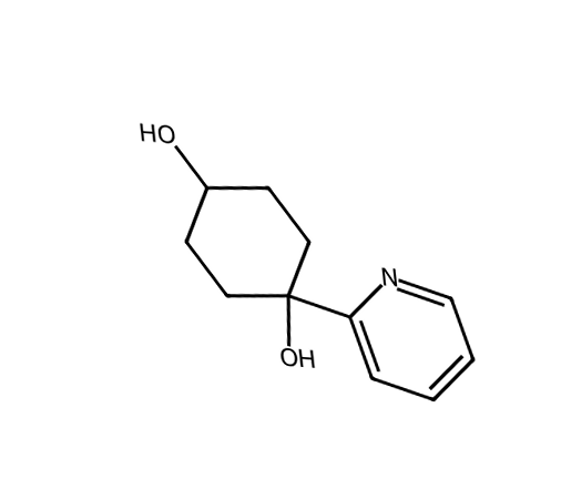 OC1CCC(O)(c2ccccn2)CC1